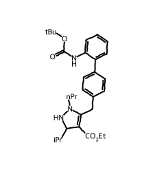 CCCN1NC(C(C)C)C(C(=O)OCC)=C1Cc1ccc(-c2ccccc2NC(=O)OC(C)(C)C)cc1